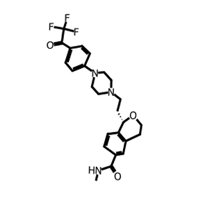 CNC(=O)c1ccc2c(c1)CCO[C@H]2CCN1CCN(c2ccc(C(=O)C(F)(F)F)cc2)CC1